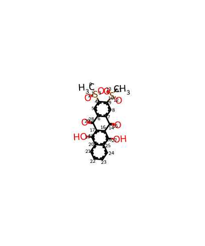 CS(=O)(=O)c1cc2c(cc1S(C)(=O)=O)C(=O)c1c(c(O)c3ccccc3c1O)C2=O